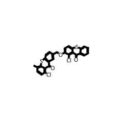 Cc1ccc(Cl)c2c(=O)c3cc(COc4ccc5sc6ccccc6c(=O)c5c4Cl)ccc3sc12